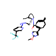 COc1ncc(-c2ccc(C)cc2C(=O)N2CCCC(C)[C@H]2CNc2ccc(C(F)(F)F)cn2)cn1